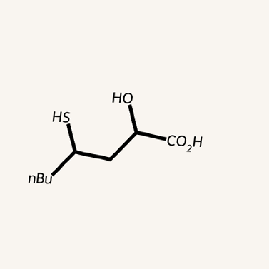 CCCCC(S)CC(O)C(=O)O